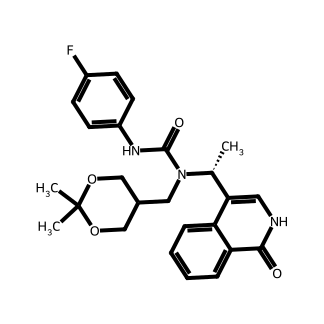 C[C@H](c1c[nH]c(=O)c2ccccc12)N(CC1COC(C)(C)OC1)C(=O)Nc1ccc(F)cc1